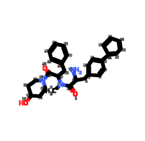 CN(C(=O)C(N)Cc1ccc(-c2ccccc2)cc1)C(Cc1ccccc1)C(=O)N1CCC(O)CC1